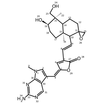 Cn1cc(/C=C2C=C(/C=C/C3C4(CCC5[C@]3(C)CC[C@@H](O)[C@@]5(C)CO)CO4)C(=O)O\2)c2cnc(N)nc21